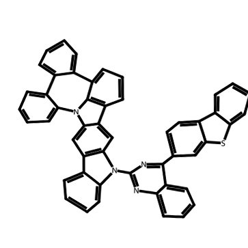 c1ccc2c(c1)-c1ccccc1-n1c3cc4c5ccccc5n(-c5nc(-c6ccc7c(c6)sc6ccccc67)c6ccccc6n5)c4cc3c3cccc-2c31